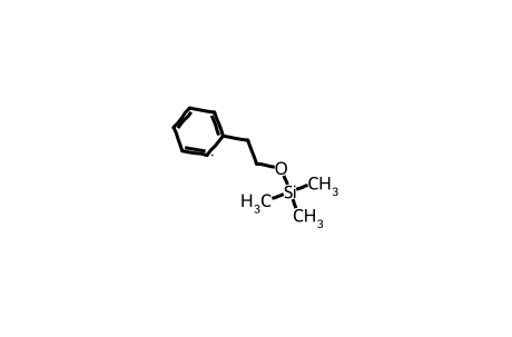 C[Si](C)(C)OCCc1[c]cccc1